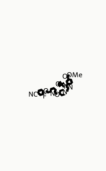 COC(=O)c1ccc2nc(CN3CCC(Oc4cccc(COc5ccc(C#N)cc5F)n4)CC3)n(CC3(C)COC3)c2c1